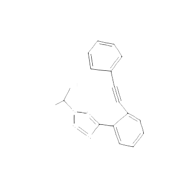 CC(C)n1nnc(-c2ccccc2C#Cc2ccccc2)n1